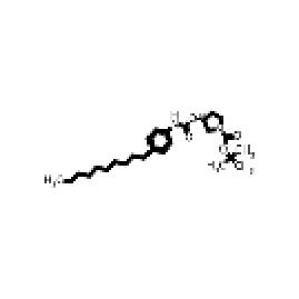 CCCCCCCCCCc1ccc(NC(=O)O[C@H]2CCN(C(=O)OC(C)(C)C)C2)cc1